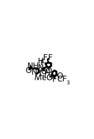 COc1c(Oc2ccc(C(F)F)c(F)c2C(=O)Nc2cc(C(N)=O)ncc2C)ccc(OC(F)(F)F)c1F